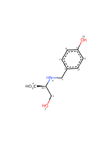 O=C(O)[C@H](CO)NCc1ccc(O)cc1